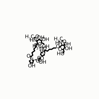 COC[C@@H]1C[C@@H](OP(=O)(O)OC[C@@H]2C[C@@H](O)CN2C(=O)CCCCCOC2OC(CO)C(O)C(O)C2NC(C)=O)CN1C(=O)CCCCCOC1OC(CO)C(O)C(O)C1NC(C)=O